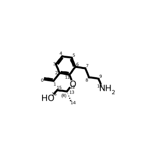 C=Cc1cccc(CCCN)c1O[C@H](C)CO